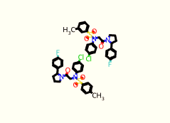 Cc1ccc(S(=O)(=O)N(CC(=O)N2CCCC2c2ccc(F)cc2)c2ccc(Cl)cc2)cc1.Cc1cccc(S(=O)(=O)N(CC(=O)N2CCCC2c2ccc(F)cc2)c2ccc(Cl)cc2)c1